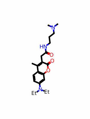 CCN(CC)c1ccc2c(C)c(CC(=O)NCCCN(C)C)c(=O)oc2c1